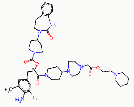 Nc1c(Cl)cc(C[C@@H](OC(=O)N2CCC(N3CCc4ccccc4NC3=O)CC2)C(=O)N2CCC(N3CCN(CC(=O)OCCN4CCCCC4)CC3)CC2)cc1C(F)(F)F